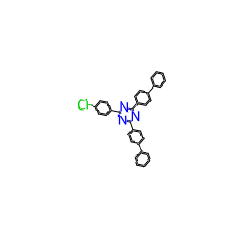 Clc1ccc(-c2nc(-c3ccc(-c4ccccc4)cc3)nc(-c3ccc(-c4ccccc4)cc3)n2)cc1